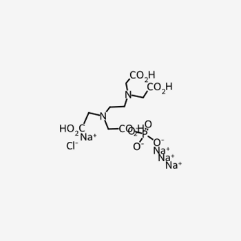 O=C(O)CN(CCN(CC(=O)O)CC(=O)O)CC(=O)O.O=P([O-])([O-])[O-].[Cl-].[Na+].[Na+].[Na+].[Na+]